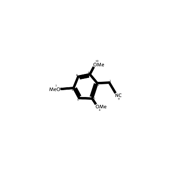 [C-]#[N+]Cc1c(OC)cc(OC)cc1OC